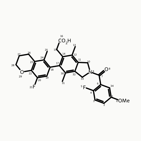 COc1ccc(F)c(C(=O)N2Cc3c(C)c(CC(=O)O)c(-c4cc(F)c5c(c4C)CCCO5)c(C)c3C2)c1